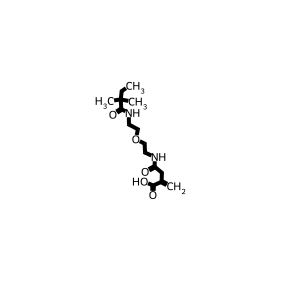 C=C(CC(=O)NCCOCCNC(=O)C(C)(C)CC)C(=O)O